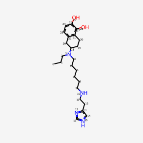 CCCN(CCCCCCNCCc1c[nH]cn1)C1CCc2c(ccc(O)c2O)C1